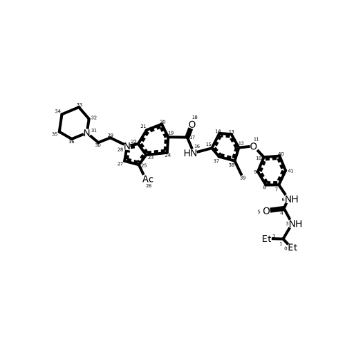 CCC(CC)NC(=O)Nc1ccc(Oc2ccc(NC(=O)c3ccc4c(c3)c(C(C)=O)cn4CCN3CCCCC3)cc2C)cc1